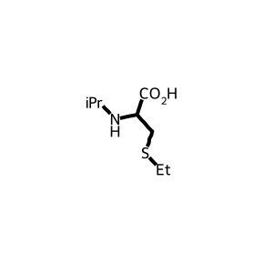 CCSCC(NC(C)C)C(=O)O